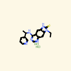 CCn1c(=S)[nH]c2cc3c(NC(C)c4cccnc4)ncnc3cc21.Cl.Cl